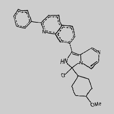 COC1CCC(C2(Cl)NC(c3ccc4ccc(-c5ccccc5)nc4c3)=C3C=NC=CN32)CC1